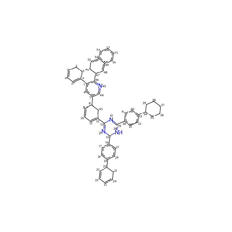 C1=CCCC(c2cc(C3C=CC=C(C4=NC(c5ccc(C6C=CC=CC6)cc5)NC(c5ccc(C6CCCCC6)cc5)=N4)C3)cnc2C2C=c3ccccc3=CC2)=C1